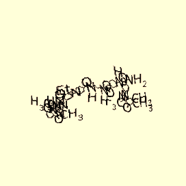 CCOc1cc(N2CCC(C(=O)NCCCNC(=O)OC3CCC(Nc4cc(-n5nc(C(F)(F)F)c6c5CC(C)(C)CC6=O)ccc4C(N)=O)CC3)CC2)ccc1Nc1ncc2c(n1)N(S(C)(=O)=O)c1ccccc1C(=O)N2C